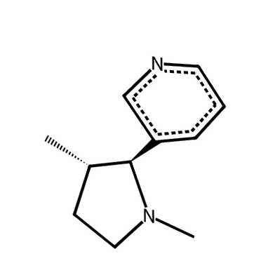 C[C@H]1CCN(C)[C@@H]1c1cccnc1